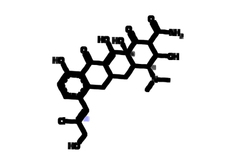 CN(C)[C@@H]1C(O)C(C(N)=O)C(=O)[C@@]2(O)C(O)=C3C(=O)c4c(O)ccc(/C=C(\Cl)CO)c4CC3CC12